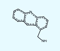 [NH]Cc1cccc2nc3ccccc3cc12